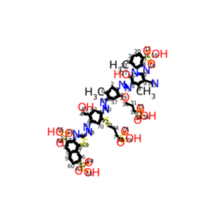 Cc1cc(N=Nc2c(C)c(C#N)c3nc4c(S(=O)(=O)O)ccc(C)c4n3c2O)c(OCCCS(=O)(=O)O)cc1N=Nc1cc(CO)c(N=Nc2nc3c(S(=O)(=O)O)cc4ccc(S(=O)(=O)O)cc4c3s2)cc1SCCCS(=O)(=O)O